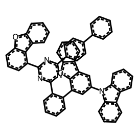 c1ccc(-c2ccc(-c3nc(-c4ccccc4-c4cc(-n5c6ccccc6c6ccccc65)cc5c4oc4ccccc45)nc(-c4cccc5oc6ccccc6c45)n3)cc2)cc1